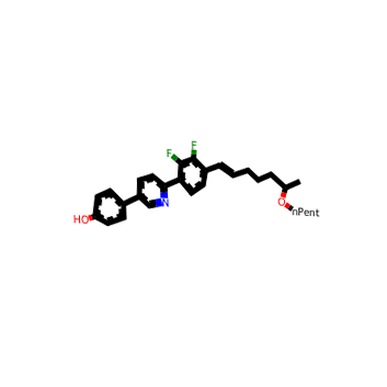 CCCCCOC(C)CCCC=Cc1ccc(-c2ccc(-c3ccc(O)cc3)cn2)c(F)c1F